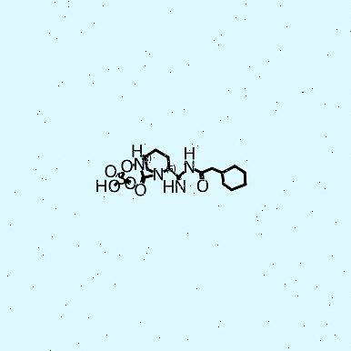 N=C(NC(=O)CC1CCCCC1)[C@@H]1CC[C@@H]2CN1C(=O)N2OS(=O)(=O)O